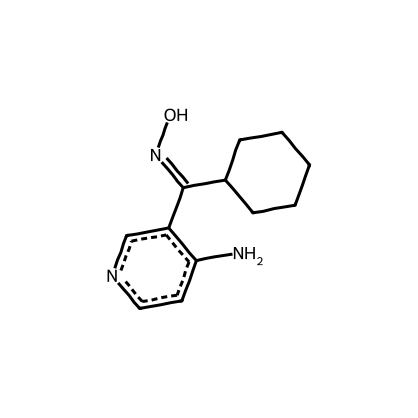 Nc1ccncc1C(=NO)C1CCCCC1